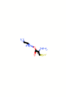 NCCNOC(=O)[C@@H](N)CS